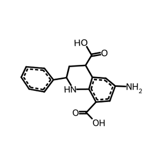 Nc1cc(C(=O)O)c2c(c1)C(C(=O)O)CC(c1ccccc1)N2